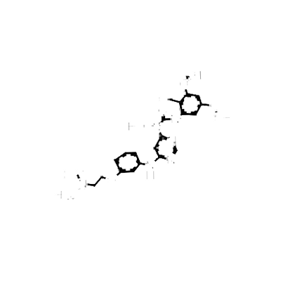 COc1cc(NC(=O)N(C)c2cc(Nc3cccc(OCCN(C)C)c3)ncn2)c(Cl)c(OC)c1